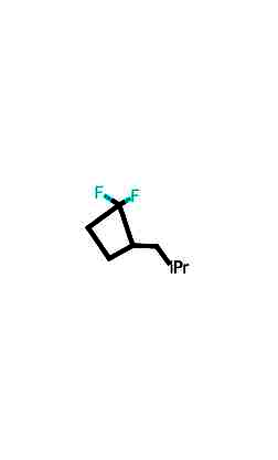 CC(C)CC1CCC1(F)F